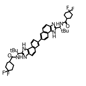 CC(C)(C)[C@H](NC(=O)C1CCC(F)(F)CC1)c1nc2ccc3cc(-c4ccc5c(ccc6nc([C@@H](NC(=O)C7CCC(F)(F)CC7)C(C)(C)C)[nH]c65)c4)ccc3c2[nH]1